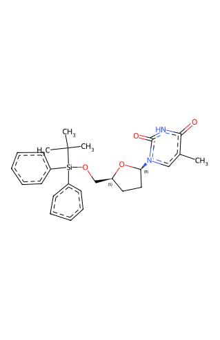 Cc1cn([C@H]2CC[C@@H](CO[Si](c3ccccc3)(c3ccccc3)C(C)(C)C)O2)c(=O)[nH]c1=O